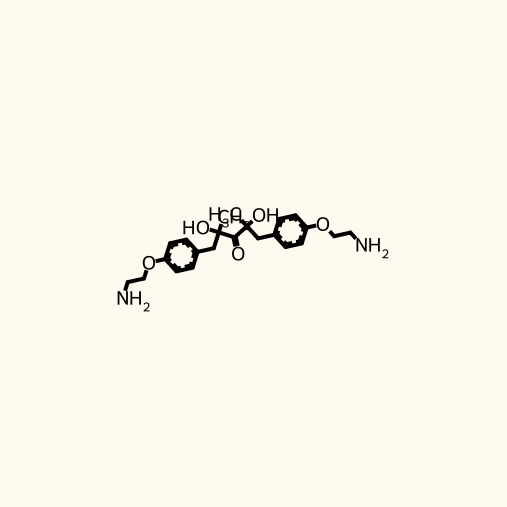 CC(O)(Cc1ccc(OCCN)cc1)C(=O)C(C)(O)Cc1ccc(OCCN)cc1